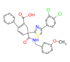 COc1cccc(CNC(=O)C2(c3nc(-c4ccc(Cl)c(Cl)c4)cs3)C=CC(c3ccccc3)=C(C(=O)O)C2)c1